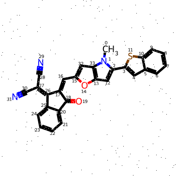 Cn1c(-c2cc3ccccc3s2)cc2oc(/C=C3\C(=O)c4ccccc4C3=C(C#N)C#N)cc21